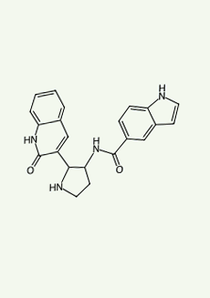 O=C(NC1CCNC1c1cc2ccccc2[nH]c1=O)c1ccc2[nH]ccc2c1